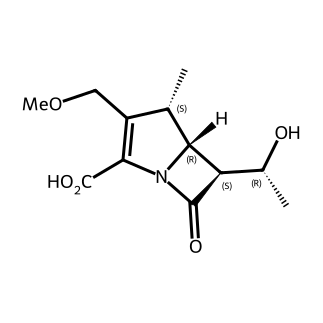 COCC1=C(C(=O)O)N2C(=O)[C@H]([C@@H](C)O)[C@H]2[C@H]1C